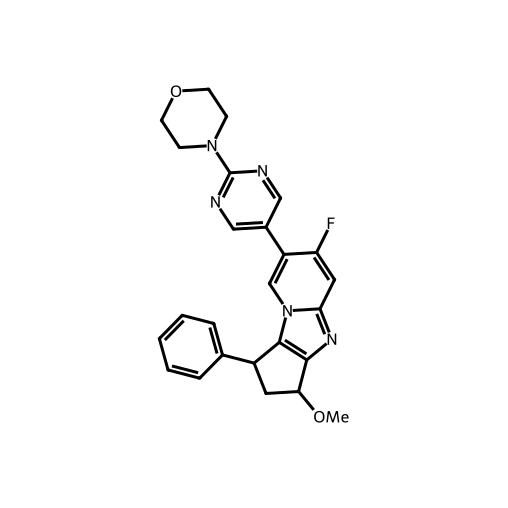 COC1CC(c2ccccc2)c2c1nc1cc(F)c(-c3cnc(N4CCOCC4)nc3)cn21